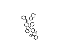 O=c1c2ccccc2sc2cc3c(cc12)C1(c2ccccc2-c2ccc(N(c4ccccc4)c4ccc5ccccc5c4)cc21)c1ccccc1-3